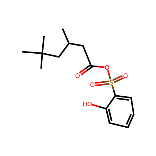 CC(CC(=O)OS(=O)(=O)c1ccccc1O)CC(C)(C)C